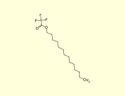 CCCCCCCCCCCCCCOC(=O)C(F)(F)F